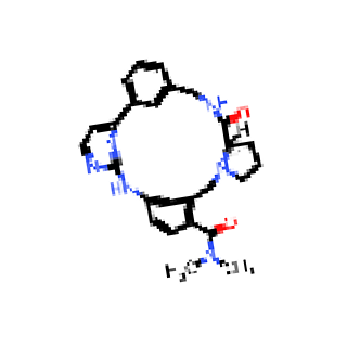 CN(C)C(=O)c1ccc2cc1CN1CCC[C@H]1C(=O)NCc1cccc(c1)-c1ccnc(n1)N2